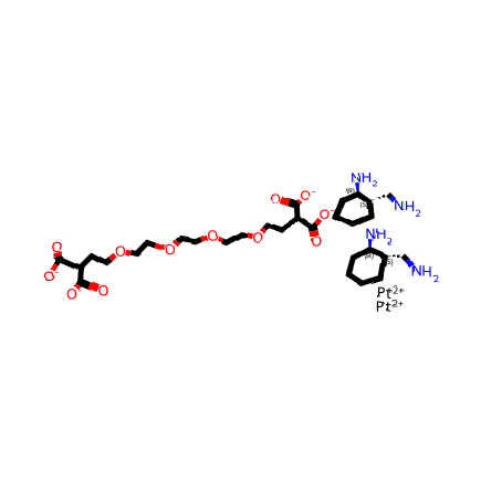 NC[C@@H]1CCCC[C@H]1N.NC[C@@H]1CCCC[C@H]1N.O=C([O-])C(CCOCCOCCOCCOCCC(C(=O)[O-])C(=O)[O-])C(=O)[O-].[Pt+2].[Pt+2]